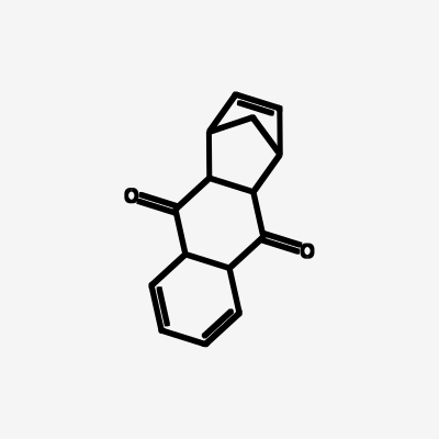 O=C1C2C=CC=CC2C(=O)C2C3C=CC(C3)C12